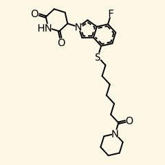 O=C1CCC(n2cc3c(F)ccc(SCCCCCCC(=O)N4CCCCC4)c3c2)C(=O)N1